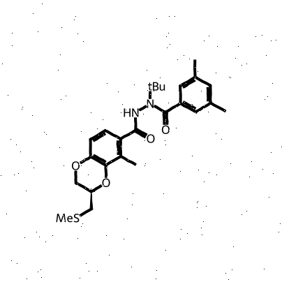 CSC[C@H]1COc2ccc(C(=O)NN(C(=O)c3cc(C)cc(C)c3)C(C)(C)C)c(C)c2O1